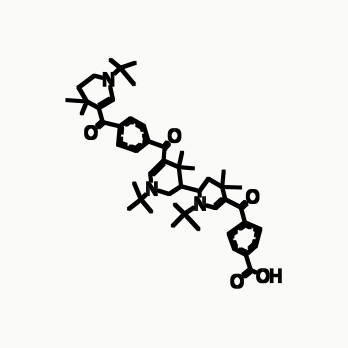 CC1(C)CCN(C(C)(C)C)C=C1C(=O)c1ccc(C(=O)C2=CN(C(C)(C)C)CC(C3CC(C)(C)C(C(=O)c4ccc(C(=O)O)cc4)=CN3C(C)(C)C)C2(C)C)cc1